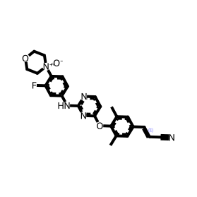 Cc1cc(/C=C/C#N)cc(C)c1Oc1ccnc(Nc2ccc([N+]3([O-])CCOCC3)c(F)c2)n1